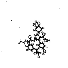 CCCCN(C(=O)CN1CC(c2ccc3c(c2)OCO3)[C@H](C(=O)O)[C@H]1c1ccc(OC)cc1)c1cccc(C[N+](C)(C)C)c1